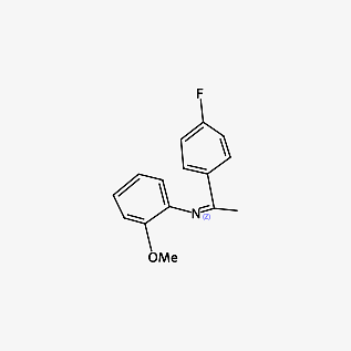 COc1ccccc1/N=C(/C)c1ccc(F)cc1